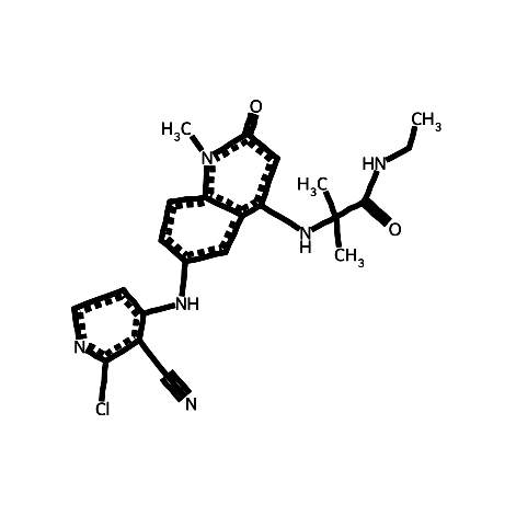 CCNC(=O)C(C)(C)Nc1cc(=O)n(C)c2ccc(Nc3ccnc(Cl)c3C#N)cc12